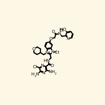 CCN(Cc1ncccc1O)C(=O)COc1ccc2c(c1)n(CC)c(CNC(=O)c1nc(Cl)c(N)nc1N)[n+]2CC1CCOCC1